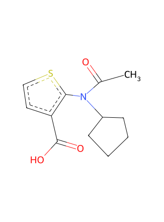 CC(=O)N(c1sccc1C(=O)O)C1CCCC1